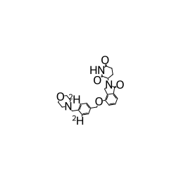 [2H]c1cc(COc2cccc3c2CN(C2CCC(=O)NC2=O)C3=O)cc([2H])c1CN1CCOCC1